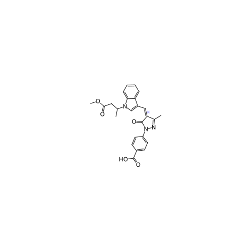 COC(=O)CC(C)n1cc(/C=C2\C(=O)N(c3ccc(C(=O)O)cc3)N=C2C)c2ccccc21